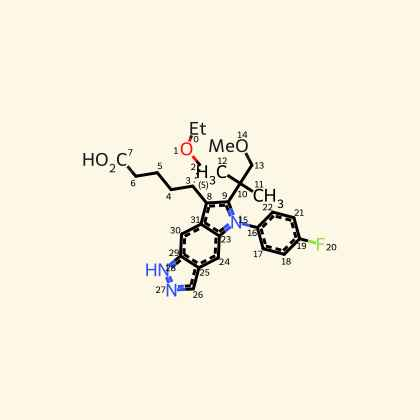 CCOC[C@@H](CCCC(=O)O)c1c(C(C)(C)COC)n(-c2ccc(F)cc2)c2cc3cn[nH]c3cc12